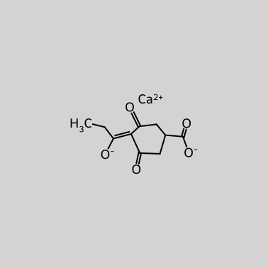 CCC([O-])=C1C(=O)CC(C(=O)[O-])CC1=O.[Ca+2]